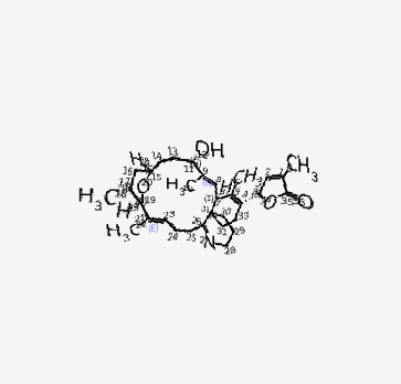 CC1=C[C@@H](C2=C(C)[C@@H]3/C=C(\C)[C@@H](O)CC[C@H]4C[C@@H](C)[C@@H](O4)/C(C)=C/CCC4=NCCC[C@@]43CC2)OC1=O